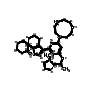 C[C@H](Oc1cc(N2CCNCCOCC2)nc(-c2noc3c2CCC[C@@]32CCCCC2=O)n1)[C@@H]1CCCN1C